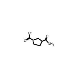 CCC(=O)N1CCC(C(N)=O)C1